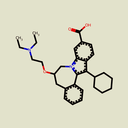 CCN(CC)CCOC1Cc2ccccc2-c2c(C3CCCCC3)c3ccc(C(=O)O)cc3n2C1